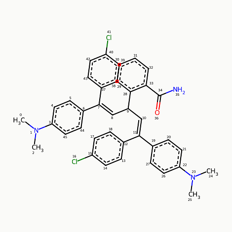 CN(C)c1ccc(C(=CC(C=C(c2ccc(Cl)cc2)c2ccc(N(C)C)cc2)c2ccccc2C(N)=O)c2ccc(Cl)cc2)cc1